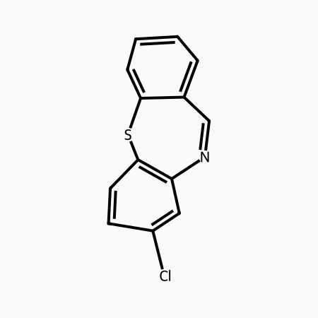 Clc1ccc2c(c1)N=Cc1ccccc1S2